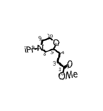 COC(=O)CCC1CN(C(C)C)CCO1